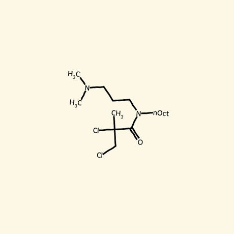 CCCCCCCCN(CCCN(C)C)C(=O)C(C)(Cl)CCl